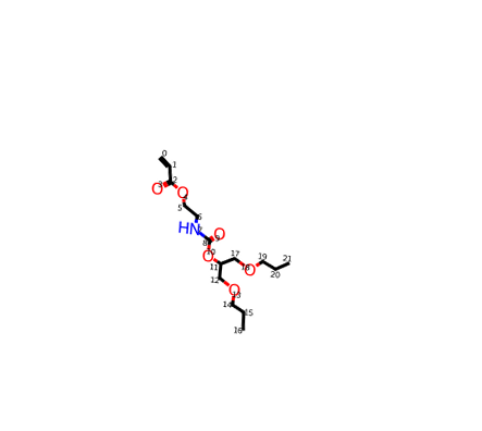 C=CC(=O)OCCNC(=O)OC(COCCC)COCCC